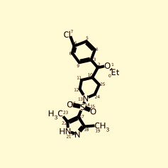 CCOC(c1ccc(Cl)cc1)C1CCN(S(=O)(=O)c2c(C)n[nH]c2C)CC1